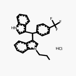 CCCn1cc([C](c2ccc(C(F)(F)F)cc2)c2c[nH]c3ccccc23)c2ccccc21.Cl